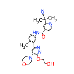 Cc1ccc(NC(=O)c2ccnc(C(C)(C)C#N)c2)cc1-c1cc(N2CCOCC2)c(OCCO)nn1